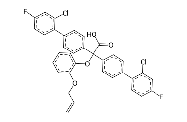 C=CCOc1ccccc1OC(C(=O)O)(c1ccc(-c2ccc(F)cc2Cl)cc1)c1ccc(-c2ccc(F)cc2Cl)cc1